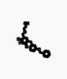 O=c1[nH]c(=O)n(COCCO)cc1Cc1cccc(OCc2ccccc2)c1